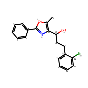 Cc1oc(-c2ccccc2)nc1C(O)CCc1ccccc1Br